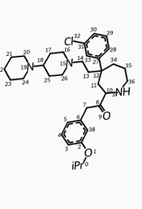 CC(C)Oc1cccc(CC(=O)C2CC(CCN3CCC(N4CCCCC4)CC3)(c3cccc(Cl)c3)CCCN2)c1